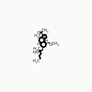 CCCCC(C)(O)C[C@H]1C[C@H]2CC[C@]3(C)[C@@H](C(C)=O)CC[C@H]3[C@@H]2[C@H](COC)C1